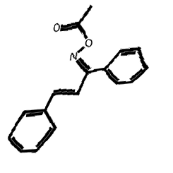 CC(=O)ON=C(C=Cc1ccccc1)c1ccccc1